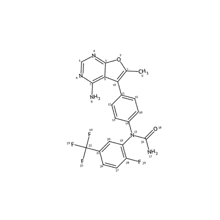 Cc1oc2ncnc(N)c2c1-c1ccc(N(C(N)=O)c2cc(C(F)(F)F)ccc2F)cc1